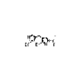 CCn1cc(Cc2cn(C(F)F)nc2Br)cn1